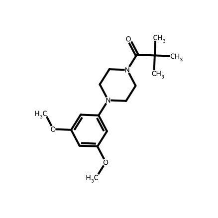 COc1cc(OC)cc(N2CCN(C(=O)C(C)(C)C)CC2)c1